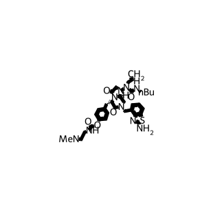 C=CCN(C(=O)NCCCC)N1CC(=O)N2[C@@H](Cc3ccc(OC(=O)NCCNC)cc3)C(=O)N(Cc3cccc4sc(N)nc34)C[C@@H]21